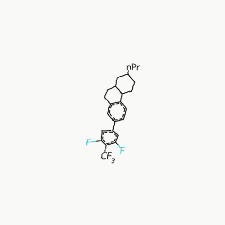 CCCC1CCC2c3ccc(-c4cc(F)c(C(F)(F)F)c(F)c4)cc3CCC2C1